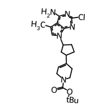 Cc1cn(C2CCC(C3=CCN(C(=O)OC(C)(C)C)CC3)C2)c2nc(Cl)nc(N)c12